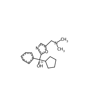 CN(C)Cc1cnc([C@@](O)(c2ccccc2)C2CCCC2)o1